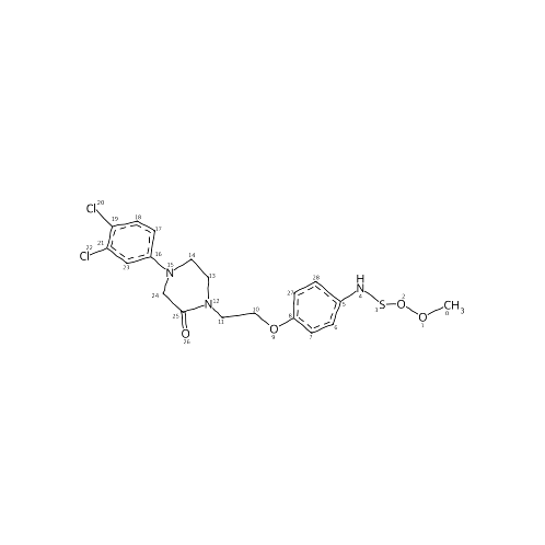 COOSNc1ccc(OCCN2CCN(c3ccc(Cl)c(Cl)c3)CC2=O)cc1